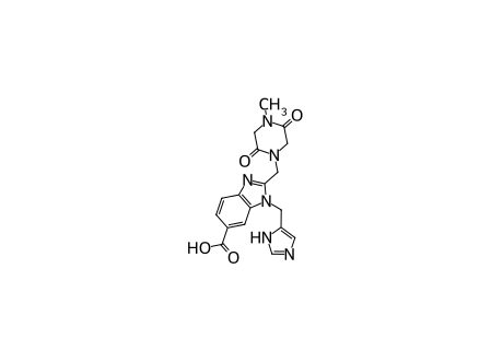 CN1CC(=O)N(Cc2nc3ccc(C(=O)O)cc3n2Cc2cnc[nH]2)CC1=O